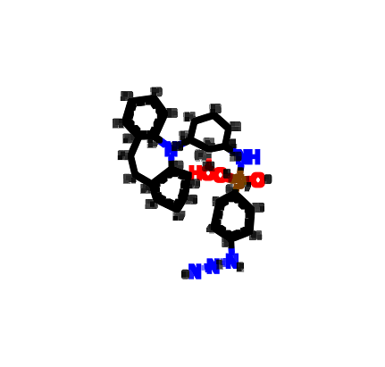 [N-]=[N+]=Nc1ccc(S(=O)(=O)NC2CCCC(N3c4ccccc4CCc4ccccc43)[C@H]2O)cc1